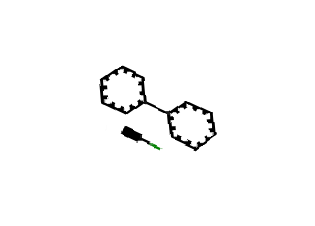 C#CF.c1ccc(-c2ccccc2)cc1